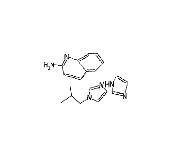 CC(C)Cn1ccnc1.Nc1ccc2ccccc2n1.c1c[nH]cn1